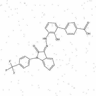 O=C(O)c1ccc(-c2cccc(NN=C3C(=O)N(c4ccc(C(F)(F)F)cc4)c4ccccc43)c2O)cc1